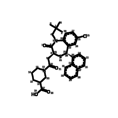 CC(C)(C)CN1C(=O)[C@H](CC(=O)N2CCCC(C(=O)O)C2)S[C@@H](c2cccc3ccccc23)c2cc(Cl)ccc21